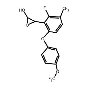 OC1OC1c1c(Oc2ccc(OC(F)(F)F)cc2)ccc(C(F)(F)F)c1F